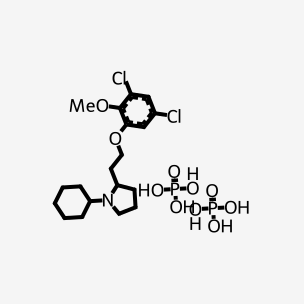 COc1c(Cl)cc(Cl)cc1OCCC1CCCN1C1CCCCC1.O=P(O)(O)O.O=P(O)(O)O